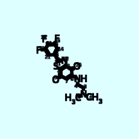 CN(C)CCNC1=CC(=O)c2sc(-c3cc(F)c(F)c(F)c3)nc2C1=O